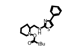 CC(C)(C)C(=O)ON1CCCCC1CNc1nc(-c2ccccc2)cs1